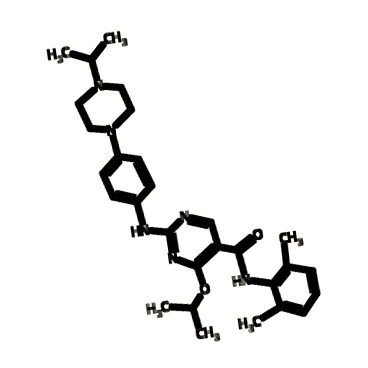 Cc1cccc(C)c1NC(=O)c1cnc(Nc2ccc(N3CCN(C(C)C)CC3)cc2)nc1OC(C)C